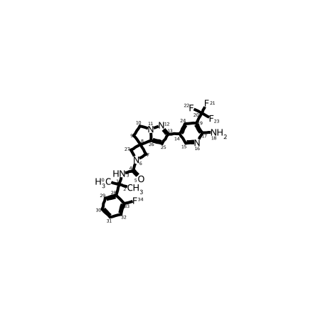 CC(C)(NC(=O)N1CC2(CCn3nc(-c4cnc(N)c(C(F)(F)F)c4)cc32)C1)c1ccccc1F